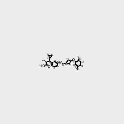 C[C@H](C(=O)O)C(c1cccc(OCC2CC(Oc3cc(F)ccc3F)C2)c1)C1CC1